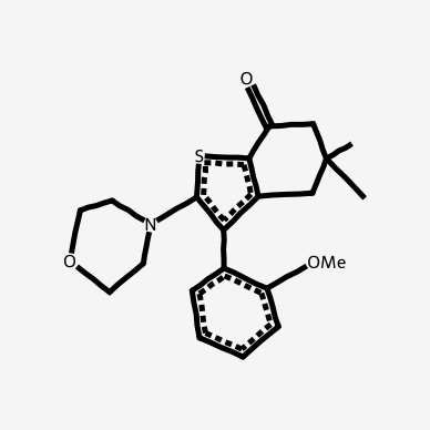 COc1ccccc1-c1c(N2CCOCC2)sc2c1CC(C)(C)CC2=O